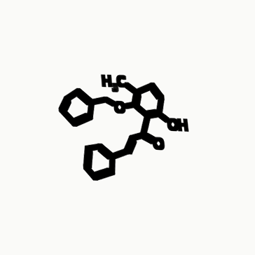 Cc1ccc(O)c(C(=O)C=Cc2ccccc2)c1OCc1ccccc1